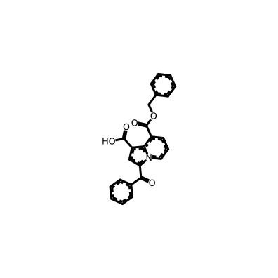 O=C(O)c1cc(C(=O)c2ccccc2)n2cccc(C(=O)OCc3ccccc3)c12